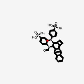 O=CN(c1ccc(P(=O)(O)O)cc1)c1c2c(c3c4ccc(c5ccccc54)c3c1N(C=O)c1ccc(P(=O)(O)O)cc1)C=C2